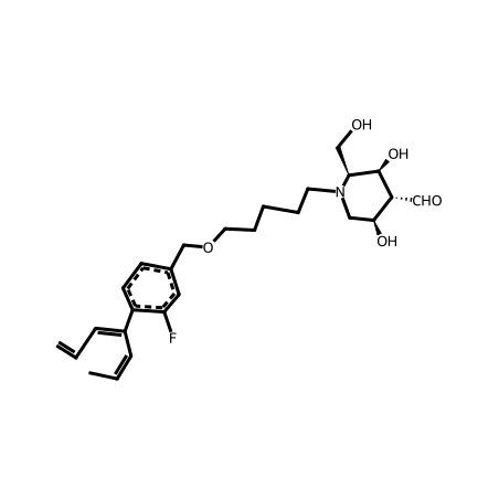 C=C/C=C(\C=C/C)c1ccc(COCCCCCN2C[C@H](O)[C@@H](C=O)[C@H](O)[C@@H]2CO)cc1F